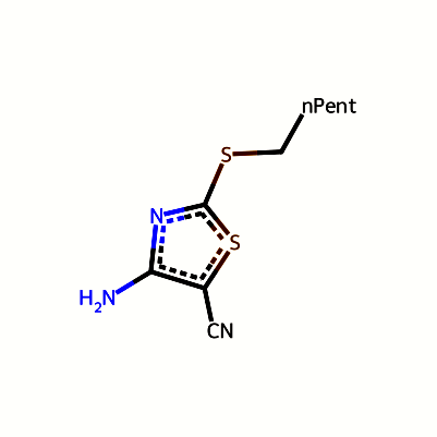 CCCCCCSc1nc(N)c(C#N)s1